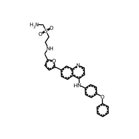 NCS(=O)(=O)CCNCc1ccc(-c2ccc3c(Nc4ccc(Oc5ccccc5)cc4)ccnc3c2)o1